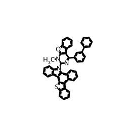 CN1c2oc3ccccc3c2C(c2cccc(-c3ccccc3)c2)=NC1n1c2ccccc2c2c3sc4ccccc4c3c3ccccc3c21